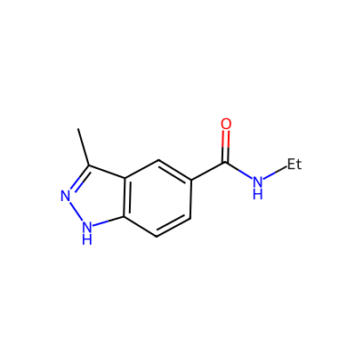 CCNC(=O)c1ccc2[nH]nc(C)c2c1